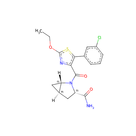 CCOc1nc(C(=O)N2[C@H](C(N)=O)C[C@H]3C[C@@H]32)c(-c2cccc(Cl)c2)s1